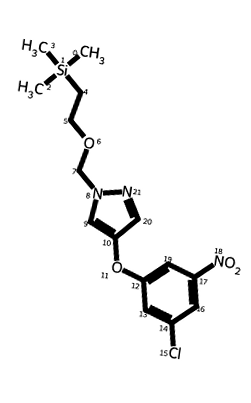 C[Si](C)(C)CCOCn1cc(Oc2cc(Cl)cc([N+](=O)[O-])c2)cn1